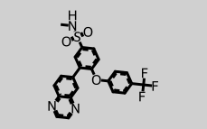 CNS(=O)(=O)c1ccc(Oc2ccc(C(F)(F)F)cc2)c(-c2ccc3nccnc3c2)c1